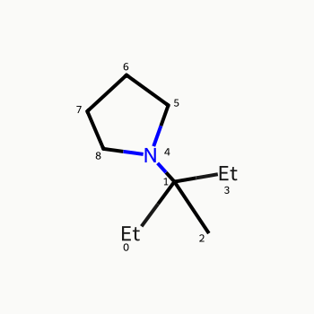 CCC(C)(CC)N1CCCC1